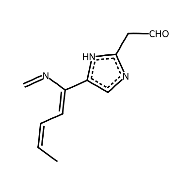 C=N/C(=C\C=C/C)c1cnc(CC=O)[nH]1